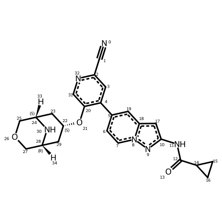 N#Cc1cc(-c2ccn3nc(NC(=O)C4CC4)cc3c2)c(O[C@H]2C[C@H]3COC[C@@H](C2)N3)cn1